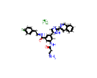 Cl.Cl.NCCC(=O)Nc1cc(C(=O)NCCc2ccc(F)cc2)cc(-c2cnc(-c3cc4ccccc4cn3)[nH]2)c1